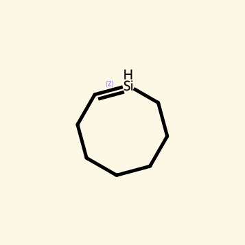 C1=[SiH]\CCCCCC/1